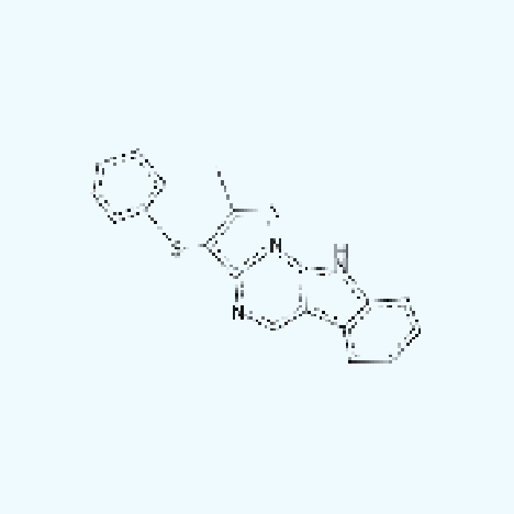 Cc1nn2c(ncc3c4ccccc4[nH]c32)c1Sc1ccccc1